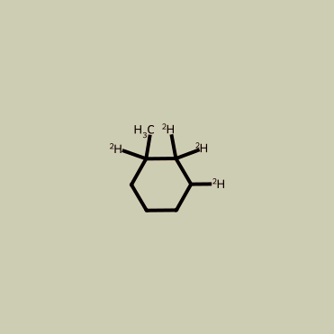 [2H]C1CCCC([2H])(C)C1([2H])[2H]